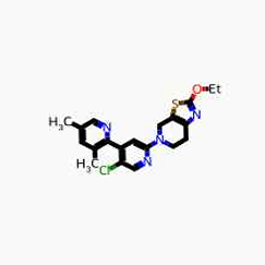 CCOc1nc2c(s1)CN(c1cc(-c3ncc(C)cc3C)c(Cl)cn1)CC2